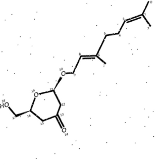 CC(C)=CCC/C(C)=C/CO[C@H]1CC(=O)C[C@@H](CO)O1